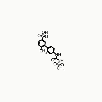 Cc1ccc(S(=O)(=O)O)cc1-c1ccc(NC(=O)NS(C)(=O)=O)cc1